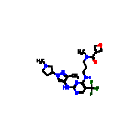 Cc1nn(C2CCN(C)C2)cc1Nc1ncc(C(F)(F)F)c(NCCCN(C)C(=O)C2COC2)n1